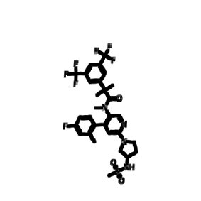 Cc1cc(F)ccc1-c1cc(N2CCC(NS(C)(=O)=O)C2)ncc1N(C)C(=O)C(C)(C)c1cc(C(F)(F)F)cc(C(F)(F)F)c1